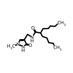 CCCCCC(CCCCC)C(=O)NCc1cn(C)[nH]c1=O